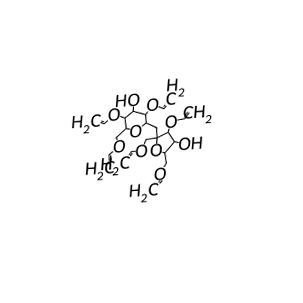 C=COCC1OC(COC=C)(CC2OC(COC=C)C(OC=C)C(O)C2OC=C)C(OC=C)C1O